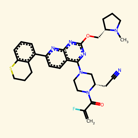 C=C(F)C(=O)N1CCN(c2nc(OC[C@@H]3CCCN3C)nc3nc(-c4cccc5c4CCCS5)ccc23)C[C@@H]1CC#N